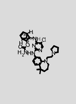 CC1(C)CCCN(CCN2CCCC2)c2cc(Nc3ncc(Cl)c(N[C@H]4[C@@H](OC(N)=O)[C@@H]5C=C[C@H]4C5)n3)ccc21